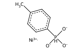 Cc1ccc([PH]([O-])([O-])[O-])cc1.[Ni+3]